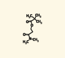 CN(C)C(=O)CCOC(=O)C(C)(C)C